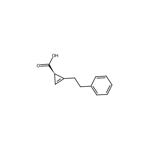 O=C(O)[C@@H]1C=C1CCc1ccccc1